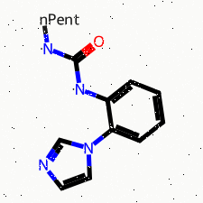 CCCCC[N]C(=O)[N]c1ccccc1-n1ccnc1